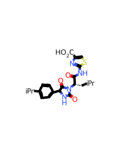 CC(C)C[C@@H](C(=O)Nc1nc(C(=O)O)cs1)N1C(=O)NC(c2ccc(C(C)C)cc2)C1=O